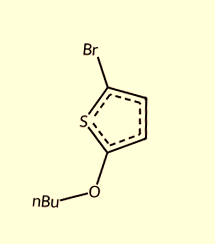 CCCCOc1ccc(Br)s1